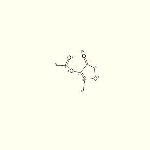 CC(=O)OC1=C(C)OCC1=O